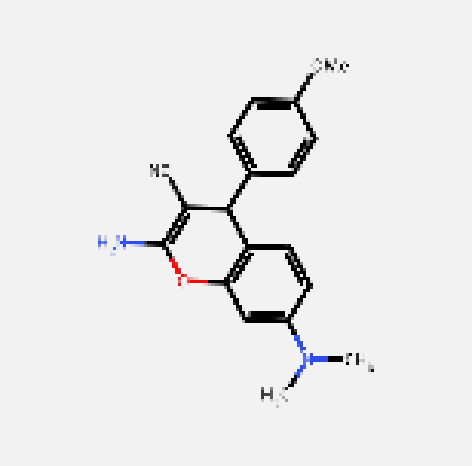 COc1ccc(C2C(C#N)=C(N)Oc3cc(N(C)C)ccc32)cc1